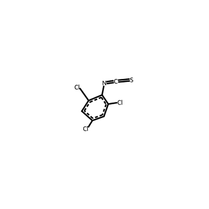 S=C=Nc1c(Cl)cc(Cl)cc1Cl